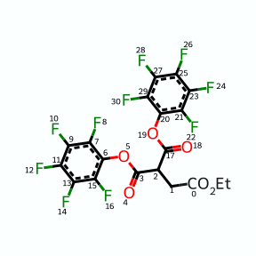 CCOC(=O)CC(C(=O)Oc1c(F)c(F)c(F)c(F)c1F)C(=O)Oc1c(F)c(F)c(F)c(F)c1F